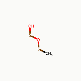 CSOSO